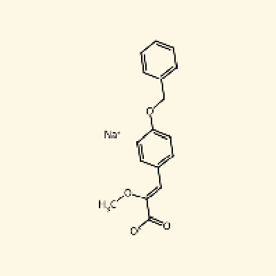 COC(=Cc1ccc(OCc2ccccc2)cc1)C(=O)[O-].[Na+]